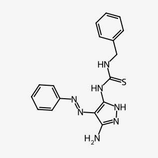 Nc1n[nH]c(NC(=S)NCc2ccccc2)c1N=Nc1ccccc1